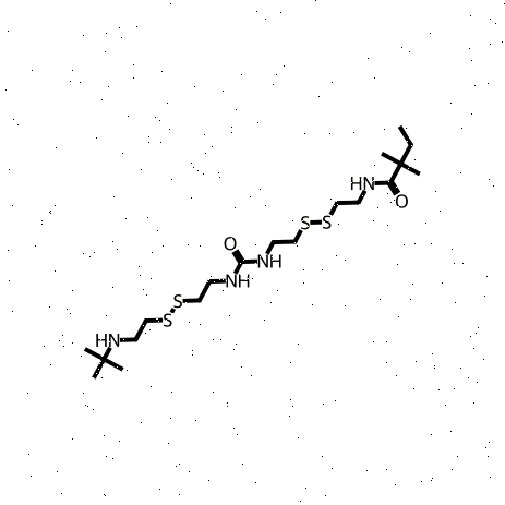 CCC(C)(C)C(=O)NCCSSCCNC(=O)NCCSSCCNC(C)(C)C